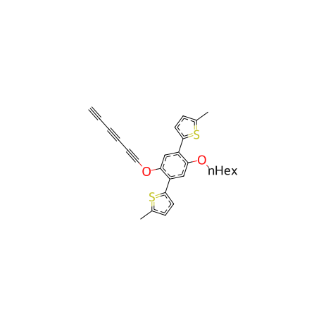 C#CC#CC#COc1cc(-c2ccc(C)s2)c(OCCCCCC)cc1-c1ccc(C)s1